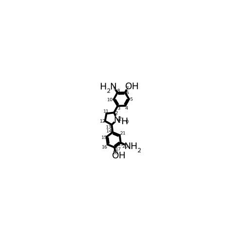 [2H]N1C(c2ccc(O)c(N)c2)CCC1c1ccc(O)c(N)c1